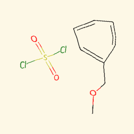 COCc1ccccc1.O=S(=O)(Cl)Cl